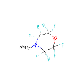 CCCCCCN1C(F)(F)C(F)(F)OC(F)(F)C1(F)F